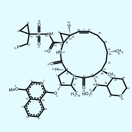 COc1cnc(O[C@@H]2C[C@H]3C(=O)N[C@]4(C(=O)NS(=O)(=O)C5(CF)CC5)C[C@H]4/C=C\CC[C@H](C)C[C@@H](C)[C@H](N(C(=O)O)C4CCCOC4)C(=O)N3C2C)c2ccccc12